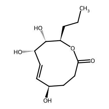 CCC[C@H]1OC(=O)CC[C@@H](O)/C=C/[C@H](O)[C@@H]1O